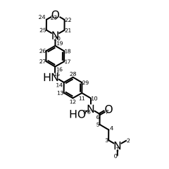 CN(C)CCCC(=O)N(O)Cc1ccc(Nc2ccc(N3CCOCC3)cc2)cc1